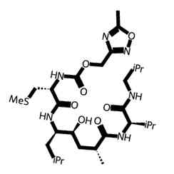 CSC[C@H](NC(=O)OCc1noc(C)n1)C(=O)N[C@H](CC(C)C)[C@@H](O)C[C@@H](C)C(=O)N[C@@H](C(=O)NCC(C)C)C(C)C